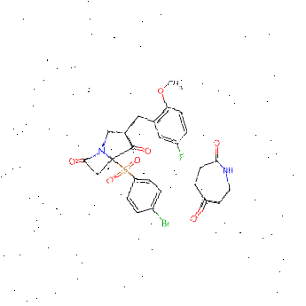 COc1ccc(F)cc1CC1CN2C(=O)CC2(S(=O)(=O)c2ccc(Br)cc2)C1=O.O=C1CCNC(=O)CC1